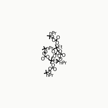 CCCC(C)(C)OOC(=O)OCC(CC)(COC(=O)OCC(CC)(COC(=O)OOC(C)(C)CCC)COC(=O)OOC(C)(C)CCC)COC(=O)OOC(C)(C)CCC